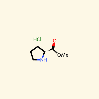 COC(=O)[C@H]1CCCN1.Cl